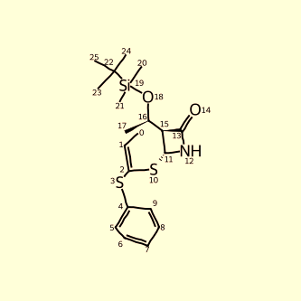 CC=C(Sc1ccccc1)S[C@H]1NC(=O)[C@@H]1[C@@H](C)O[Si](C)(C)C(C)(C)C